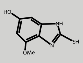 COc1cc(O)cc2[nH]c(S)nc12